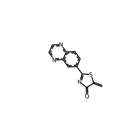 C=C1SC(c2ccc3nccnc3c2)=NC1=O